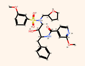 COc1cccc(S(=O)(=O)N(CC2CCCO2)CC(O)C(Cc2ccccc2)NC(=O)c2ccnc(OC)c2)c1